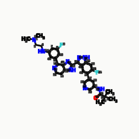 CN(C)CCNc1cc(F)cc(-c2nccc3[nH]c(-c4n[nH]c5cc(F)c(-c6cncc(NC(=O)C(C)(C)C)c6)cc45)nc23)c1